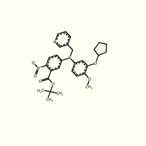 COc1ccc(N(Cc2cccnc2)c2ccc([N+](=O)[O-])c(C(=O)OC(C)(C)C)c2)cc1OC1CCCC1